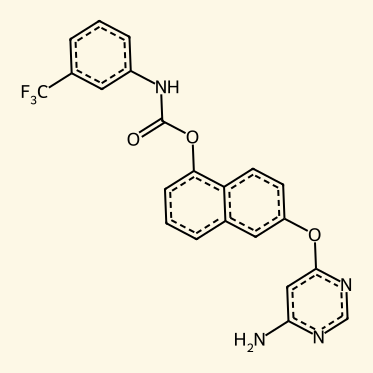 Nc1cc(Oc2ccc3c(OC(=O)Nc4cccc(C(F)(F)F)c4)cccc3c2)ncn1